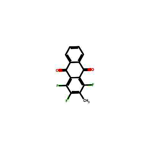 Cc1c(F)c(F)c2c(c1F)C(=O)c1ccccc1C2=O